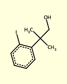 CC(C)(CO)c1ccccc1I